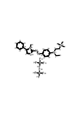 CCN(CC[N+](C)(C)C)c1ccc(N=Nc2scc(-c3ccccc3)[n+]2C)cc1.F[B-](F)(F)F.F[B-](F)(F)F